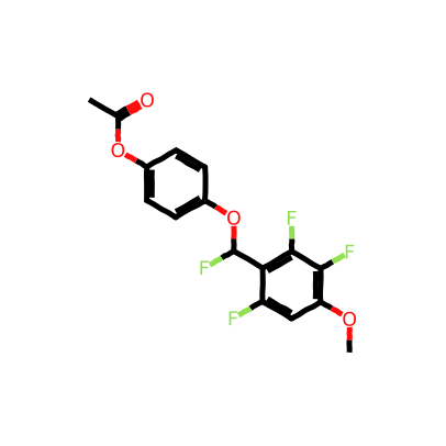 COc1cc(F)c(C(F)Oc2ccc(OC(C)=O)cc2)c(F)c1F